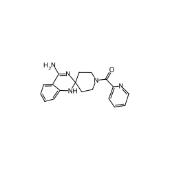 NC1=NC2(CCN(C(=O)c3ccccn3)CC2)Nc2ccccc21